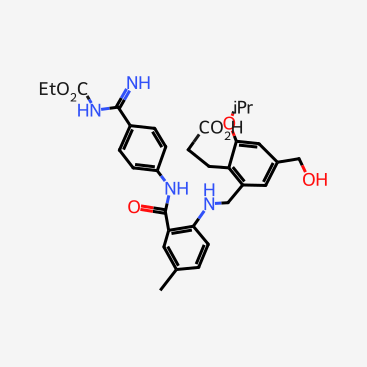 CCOC(=O)NC(=N)c1ccc(NC(=O)c2cc(C)ccc2NCc2cc(CO)cc(OC(C)C)c2CCC(=O)O)cc1